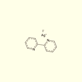 [Ag+].[I-].c1ccc(-c2ccccn2)nc1